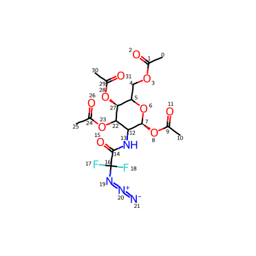 CC(=O)OCC1O[C@@H](OC(C)=O)C(NC(=O)C(F)(F)N=[N+]=[N-])C(OC(C)=O)[C@H]1OC(C)=O